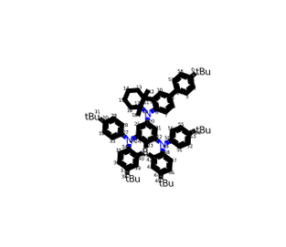 CC(C)(C)c1ccc(-c2ccc3c(c2)C2(C)CCCCC2(C)N3c2cc3c4c(c2)N(c2ccc(C(C)(C)C)cc2)c2ccc(C(C)(C)C)cc2B4c2cc(C(C)(C)C)ccc2N3c2ccc(C(C)(C)C)cc2)cc1